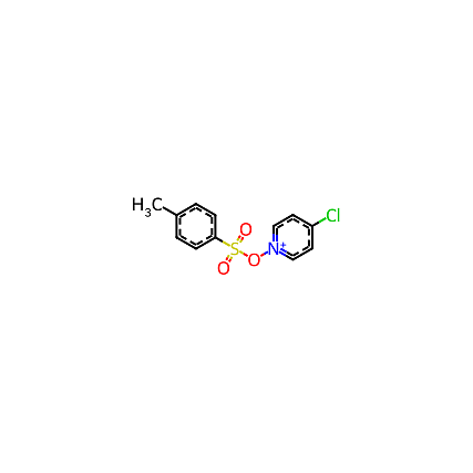 Cc1ccc(S(=O)(=O)O[n+]2ccc(Cl)cc2)cc1